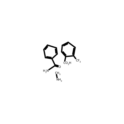 CN.NC(=O)c1ccccc1.O=C(O)c1ccccc1C(F)(F)F